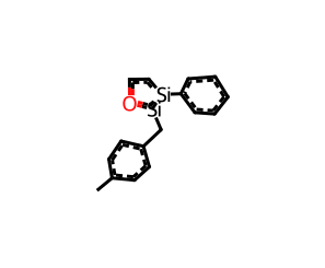 Cc1ccc(C[si]2occ[si]2-c2ccccc2)cc1